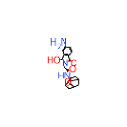 Nc1ccc2c(c1)C(O)N(CC(=O)NC13CC4CC(CC(C4)O1)C3)C2=O